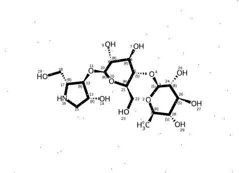 C[C@H]1O[C@@H](O[C@H]2[C@H](O)[C@@H](O)[C@H](O[C@H]3[C@H](O)CN[C@@H]3CO)O[C@@H]2CO)[C@H](O)[C@@H](O)[C@@H]1O